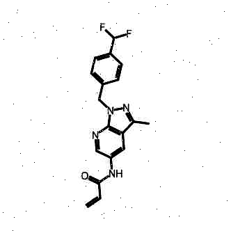 C=CC(=O)Nc1cnc2c(c1)c(C)nn2Cc1ccc(C(F)F)cc1